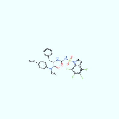 COc1ccc(N(C)C(=O)C(Cc2ccccc2)NC(=O)NS(=O)(=O)n2ccc3c(F)c(F)c(F)c(F)c32)cc1